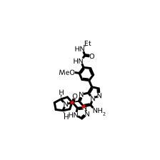 CCNC(=O)Nc1ccc(-c2cnn3c(N)cc([C@H]4C[C@H]5CC[C@@H](C4)N5C(=O)c4nnc[nH]4)nc23)cc1OC